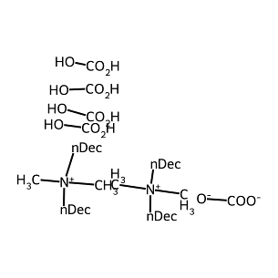 CCCCCCCCCC[N+](C)(C)CCCCCCCCCC.CCCCCCCCCC[N+](C)(C)CCCCCCCCCC.O=C(O)O.O=C(O)O.O=C(O)O.O=C(O)O.O=C([O-])[O-]